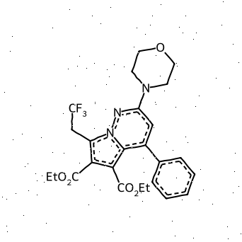 CCOC(=O)c1c(C(=O)OCC)c2c(-c3ccccc3)cc(N3CCOCC3)nn2c1CC(F)(F)F